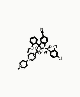 CCOc1ccccc1C1(OC(=O)N2CCN(C3CCN(C)CC3)CC2)C(=O)N(S(=O)(=O)c2ccc(Cl)cc2Cl)c2ccc(C#N)cc21